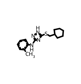 Cc1ccccc1Nc1n[nH]c(SCC2CCCCC2)n1